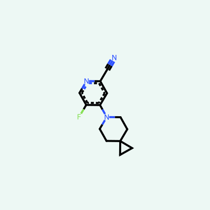 N#Cc1cc(N2CCC3(CC2)CC3)c(F)cn1